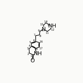 O=C1CCc2cc(CCCN3CCNCC3)ccc2N1